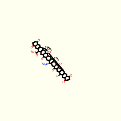 CC1C2=C3CC4C(=O)C5CC6=C(CC5C(=O)C4C2)C(C[C@H](C)C(C)C2C4=C(CC5C(=O)C=CC(=O)C5C4)C(C(=O)O)C4=C2CC2C(=O)C5CC1=C(CC5C(=O)C2C4)C3N=N)C1=C(CC2C(=O)C=CC(=O)C2C1)C6Cl